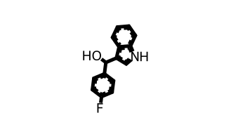 OC(c1ccc(F)cc1)c1c[nH]c2ccccc12